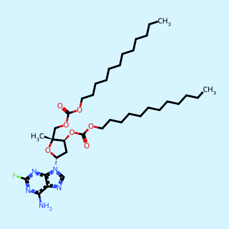 CCCCCCCCCCCCOC(=O)OC[C@@]1(C)O[C@@H](n2cnc3c(N)nc(F)nc32)C[C@@H]1OC(=O)OCCCCCCCCCCCC